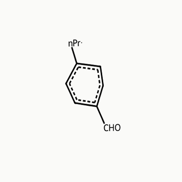 CC[CH]c1ccc(C=O)cc1